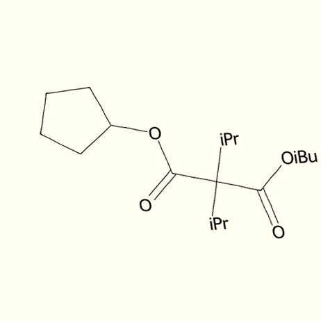 CC(C)COC(=O)C(C(=O)OC1CCCC1)(C(C)C)C(C)C